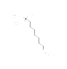 CCCCOCCCCCCCC(CCCC)(OC)OC